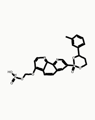 Cc1cccc(C2CCOP(=O)(c3cnc4c(ccc5c(OCO[PH](=O)O)ccnc54)c3)O2)c1